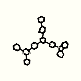 C1=Cc2c(c3ccccc3n2-c2ccc(-c3cc(-c4ccc(-c5ccccc5)cc4)cc(-c4ccc(-c5cc(-c6ccccc6)nc(-c6ccccc6)n5)cc4)c3)cc2)CC1